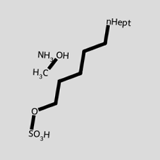 CCCCCCCCCCCCOS(=O)(=O)O.CO.N